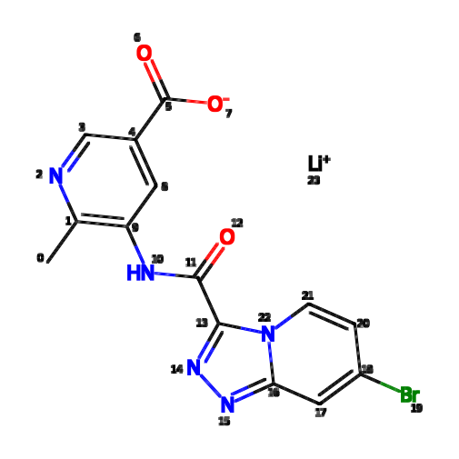 Cc1ncc(C(=O)[O-])cc1NC(=O)c1nnc2cc(Br)ccn12.[Li+]